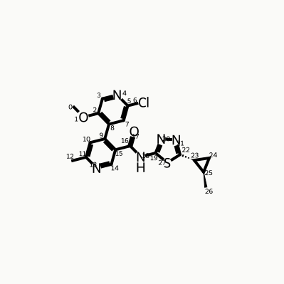 COc1cnc(Cl)cc1-c1cc(C)ncc1C(=O)Nc1nnc([C@@H]2C[C@H]2C)s1